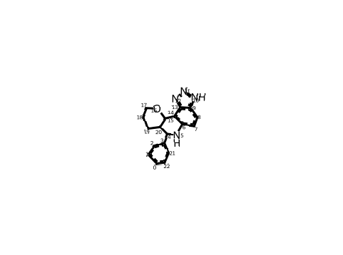 c1ccc(C2Nc3ccc4[nH]nnc4c3C3OCCCC23)cc1